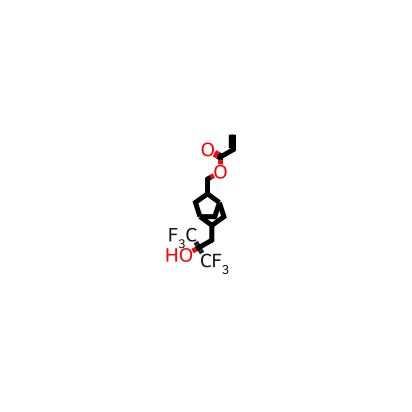 C=CC(=O)OCC1CC2CC1CC2CC(O)(C(F)(F)F)C(F)(F)F